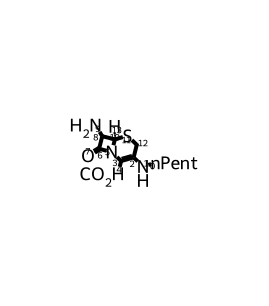 CCCCCNC1=C(C(=O)O)N2C(=O)C(N)[C@H]2SC1